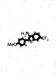 COc1ccc(-c2sc3cc(C(F)(F)F)ccc3c2N)cc1